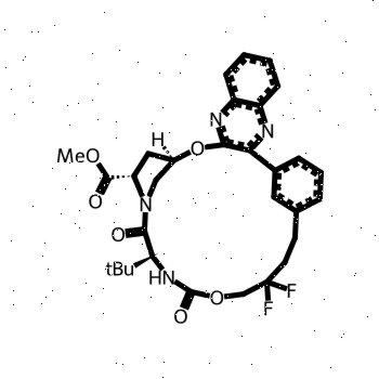 COC(=O)[C@@H]1C[C@@H]2CN1C(=O)[C@H](C(C)(C)C)NC(=O)OCC(F)(F)CCc1cccc(c1)-c1nc3ccccc3nc1O2